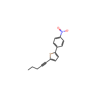 CCCC#Cc1ccc(-c2ccc([N+](=O)[O-])cc2)s1